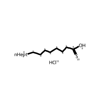 CCCCCCCCCCCCCCC(O)=S.Cl